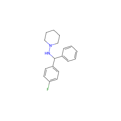 Fc1ccc(C(NN2CCCCC2)c2ccccc2)cc1